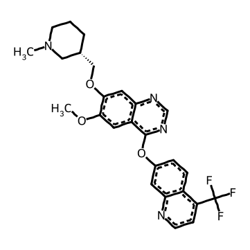 COc1cc2c(Oc3ccc4c(C(F)(F)F)ccnc4c3)ncnc2cc1OC[C@H]1CCCN(C)C1